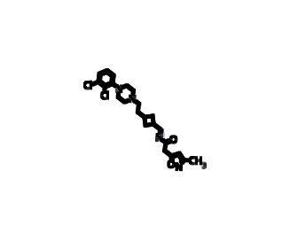 Cc1cc(CC(=O)/N=C/C2CC(CCN3CCN(c4cccc(Cl)c4Cl)CC3)C2)on1